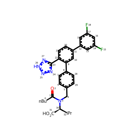 CCCCC(=O)N(Cc1ccc(-c2cc(-c3cc(F)cc(F)c3)ccc2-c2nn[nH]n2)cc1)[C@H](C(=O)O)C(C)C